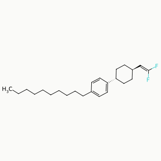 CCCCCCCCCCc1ccc([C@H]2CC[C@H](C=C(F)F)CC2)cc1